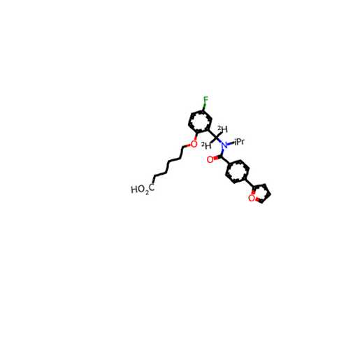 [2H]C([2H])(c1cc(F)ccc1OCCCCCC(=O)O)N(C(=O)c1ccc(-c2ccco2)cc1)C(C)C